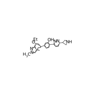 CCOc1cc(-c2ccc(-c3ccc(C4CNC4)nn3)c(O)c2)cc2cn(C)nc12